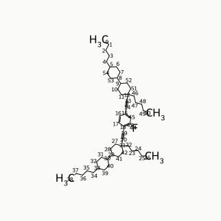 CCCCCC1CCC(C2CCC(C#Cc3ccc(C#CC4(CCCCC)CCC(C5CCC(CCCCC)CC5)CC4)c(F)c3)(CCCCC)CC2)CC1